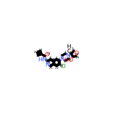 CC1(N2CCN(c3cc4cc(NC(=O)C56CC(C5)C6)ncc4cc3Cl)CC2)COCC1O